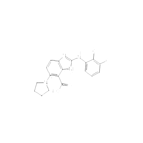 O=C(O)c1c(N2CCCC2)ccc2nc(Nc3cccc(Cl)c3Cl)[nH]c12